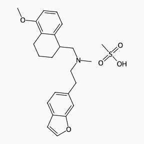 COc1cccc2c1CCCC2CN(C)CCc1ccc2ccoc2c1.CS(=O)(=O)O